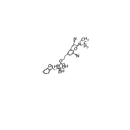 CCN(CC)C(=O)C(C#N)=Cc1cc(C#N)cc(CCOC(=O)N[C@@H](Cc2coc3ccccc23)B(O)O)c1